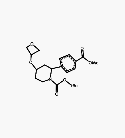 COC(=O)c1ccc(C2CC(OC3COC3)CCN2C(=O)OC(C)(C)C)cc1